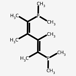 CC(C(C)=C(C)P(C)C)=C(C)P(C)C